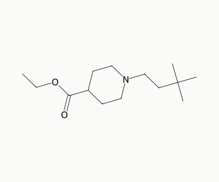 CCOC(=O)C1CCN(CCC(C)(C)C)CC1